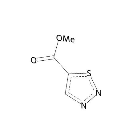 COC(=O)c1cnns1